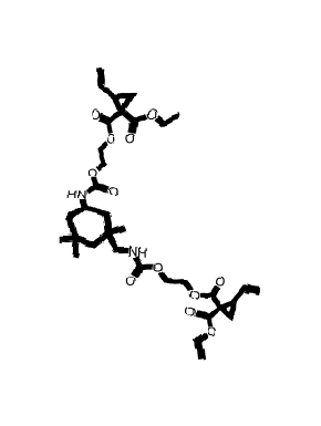 C=CC1CC1(C(=O)OCC)C(=O)OCCOC(=O)NCC1(C)CC(NC(=O)OCCOC(=O)C2(C(=O)OCC)CC2C=C)CC(C)(C)C1